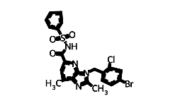 Cc1cc(C(=O)NS(=O)(=O)c2ccccc2)nc2c1nc(C)n2Cc1ccc(Br)cc1Cl